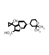 CC1(C)C[C@H](c2ccc3c(C4(C#N)CC4)c(C(=O)O)cn3c2)CCO1